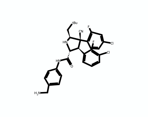 CC(C)(C)C[C@@H]1N[C@@H](C(=O)Nc2ccc(CN)cc2)[C@H](c2cccc(Cl)c2F)[C@@]1(C#N)c1ccc(Cl)cc1F